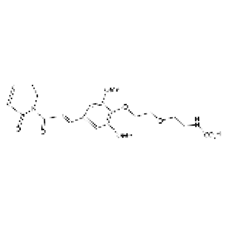 COc1cc(/C=C/C(=O)N2CCC=CC2=O)cc(OC)c1OCCOCCNC(=O)O